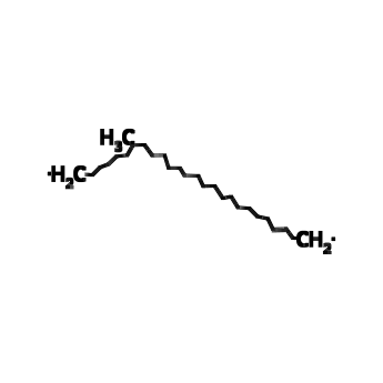 [CH2]CC=CCCCCCCCCCCCCCCCC(C)CCCCC[CH2]